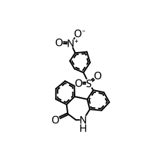 O=C1CNc2cccc(S(=O)(=O)c3ccc([N+](=O)[O-])cc3)c2-c2ccccc21